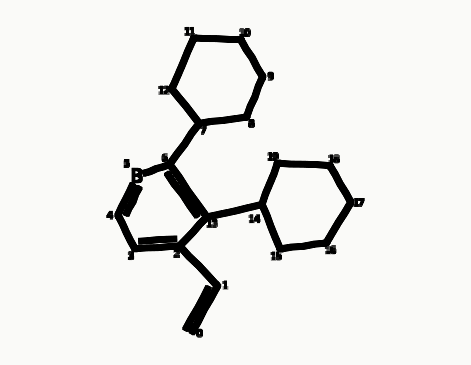 C=Cc1ccbc(C2CCCCC2)c1C1CCCCC1